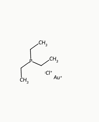 CCP(CC)CC.[Au+].[Cl+]